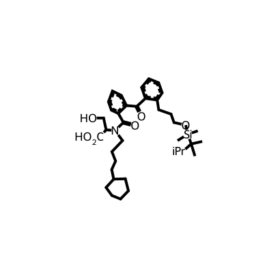 CC(C)C(C)(C)[Si](C)(C)OCCCc1ccccc1C(=O)c1ccccc1C(=O)N(CCCCC1CCCCC1)C(CO)C(=O)O